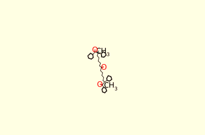 CC(CCCCCC(=O)CCCCCC(C)(C(=O)c1ccccc1)c1ccccc1)(C(=O)c1ccccc1)c1ccccc1